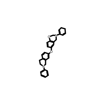 C1=CC(N2COc3ccc(Oc4ccc5c(c4)CN(c4ccccc4)CC5)cc3C2)=CCC1